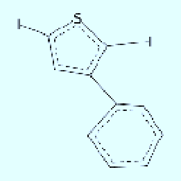 Ic1cc(-c2ccccc2)c(I)s1